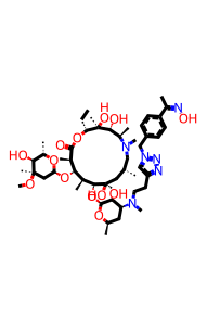 CC[C@H]1OC(=O)[C@H](C)[C@@H](O[C@H]2C[C@@](C)(OC)[C@@H](O)[C@H](C)O2)[C@H](C)[C@@H](O[C@@H]2O[C@H](C)C[C@H](N(C)CCc3cn(Cc4ccc(/C(C)=N\O)cc4)nn3)[C@H]2O)[C@](C)(O)C[C@@H](C)CN(C)[C@H](C)[C@@H](O)[C@]1(C)O